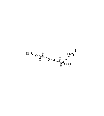 CCOCCOCC(=O)NCCOCCOCC(=O)NC(CCCCNC(=O)CBr)C(=O)O